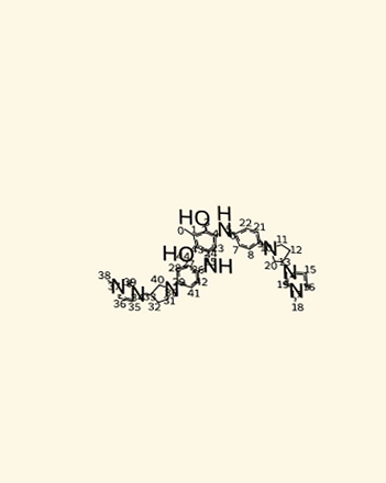 Cc1c(O)c(Nc2ccc(N3CCC(n4cc[n+](C)c4)C3)cc2)cc(Nc2ccc(N3CCC(n4cc[n+](C)c4)C3)cc2)c1O